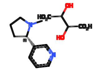 CN1CCC[C@H]1c1cccnc1.O=C(O)C(O)C(O)C(=O)O